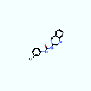 Cc1cccc(NC(=O)NC2=CNc3ccccc3C=N2)c1